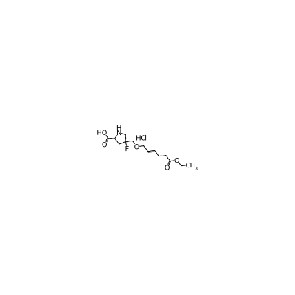 CCOC(=O)CC/C=C/COCC1(F)CNC(C(=O)O)C1.Cl